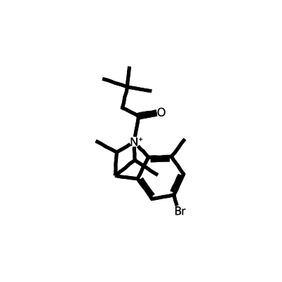 Cc1cc(Br)cc2c1[N+]1(C(=O)CC(C)(C)C)C(C)C2C1C